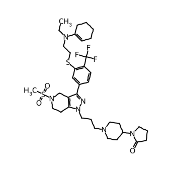 CCN(CCSc1cc(-c2nn(CCCN3CCC(N4CCCC4=O)CC3)c3c2CN(S(C)(=O)=O)CC3)ccc1C(F)(F)F)C1=CCCCC1